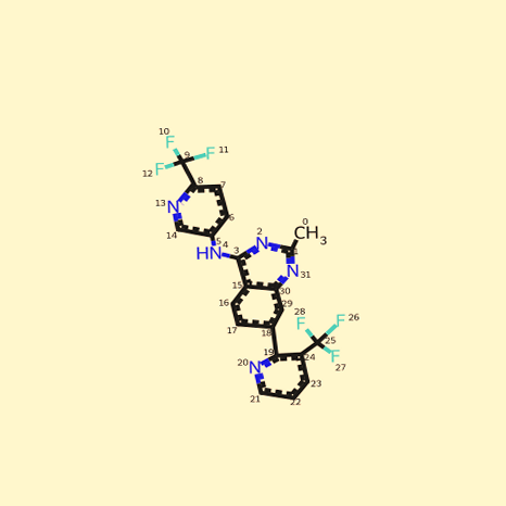 Cc1nc(Nc2ccc(C(F)(F)F)nc2)c2ccc(-c3ncccc3C(F)(F)F)cc2n1